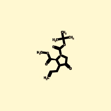 C=CCC1C(=O)CN(C(=O)OC(C)(C)C)[C@@H]1C(=O)OC